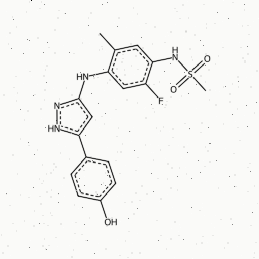 Cc1cc(NS(C)(=O)=O)c(F)cc1Nc1cc(-c2ccc(O)cc2)[nH]n1